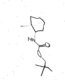 C[C@@H]1CCCC[C@@H]1NC(=O)OCC(C)(C)C